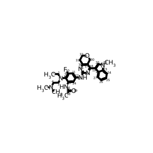 CCN(CCN(C)C)c1c(F)cc(Nc2nc3c(c(-c4cn(C)c5ccccc45)n2)COCC3)cc1NC(C)=O